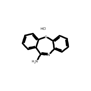 Cl.NC1=Nc2ccccc2Sc2ccccc21